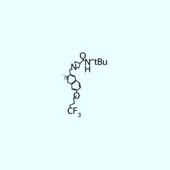 C[C@H]1Cc2cc(OCCCC(F)(F)F)ccc2C=C1CN1CC(C(=O)NCC(C)(C)C)C1